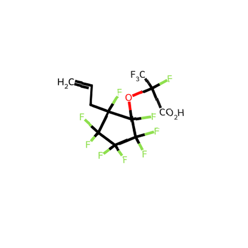 C=CCC1(F)C(F)(F)C(F)(F)C(F)(F)C1(F)OC(F)(C(=O)O)C(F)(F)F